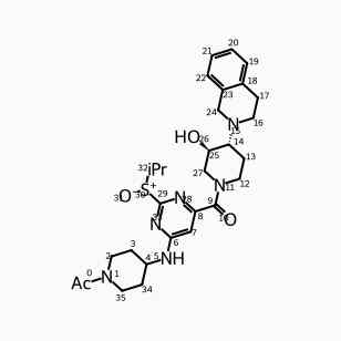 CC(=O)N1CCC(Nc2cc(C(=O)N3CC[C@@H](N4CCc5ccccc5C4)[C@H](O)C3)nc([S+]([O-])C(C)C)n2)CC1